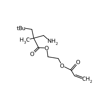 C=CC(=O)OCCOC(=O)C(C)(CN)CC(C)(C)C